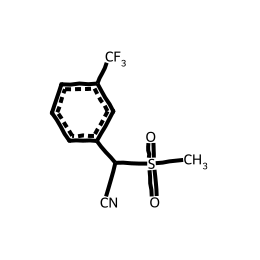 CS(=O)(=O)C(C#N)c1cccc(C(F)(F)F)c1